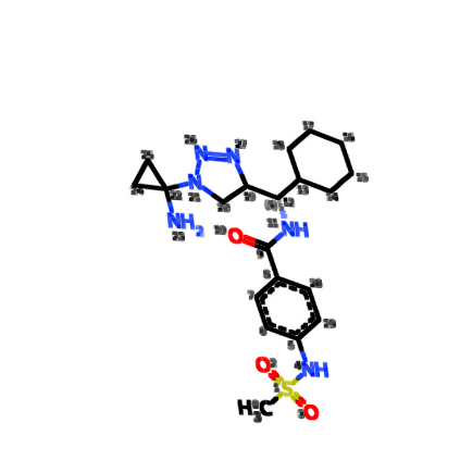 CS(=O)(=O)Nc1ccc(C(=O)N[C@@H](C2CCCCC2)C2CN(C3(N)CC3)N=N2)cc1